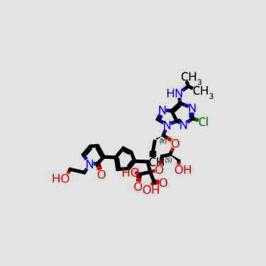 C#CC[C@@H](O[C@@H](CO)COC(Cc1ccc(-c2cccn(CCO)c2=O)cc1)(C(=O)O)C(=O)O)n1cnc2c(NC(C)C)nc(Cl)nc21